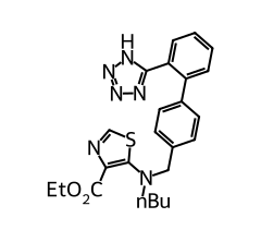 CCCCN(Cc1ccc(-c2ccccc2-c2nnn[nH]2)cc1)c1scnc1C(=O)OCC